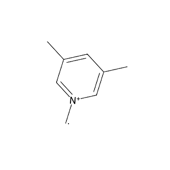 [CH2][n+]1cc(C)cc(C)c1